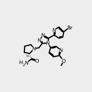 COc1ccc(-n2c(CN3CCC[C@H]3C(N)=O)nnc2-c2ccc(Br)cn2)cn1